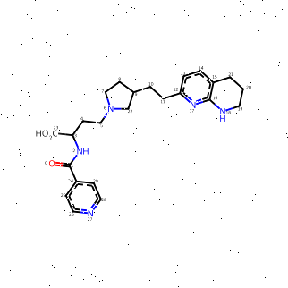 O=C(NC(CCN1CCC(CCc2ccc3c(n2)NCCC3)C1)C(=O)O)c1ccncc1